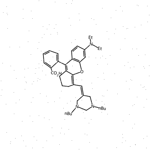 CCCCN1CC(=CC2=C3Oc4cc(N(CC)CC)ccc4C(c4ccccc4C(=O)O)=C3CCC2)CN(CCCC)C1